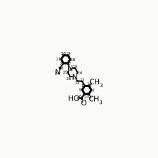 Cc1cc(C)c(C(=O)O)cc1CCN1CCN(c2ccccc2C#N)CC1